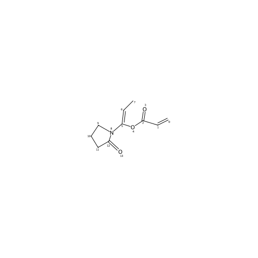 C=CC(=O)OC(=CC)N1CCCC1=O